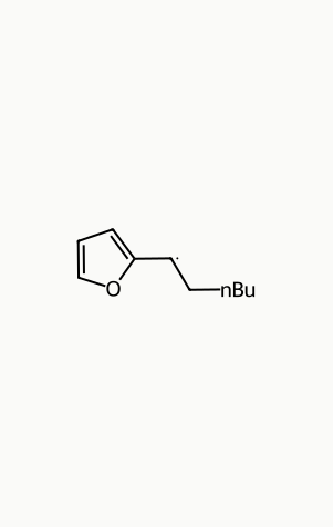 CCCCC[CH]c1ccco1